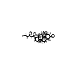 CCCC(=O)CC(=O)[C@H]1CC[C@H]2[C@@H]3CCC4=CC(=O)CC(O)[C@]4(C)[C@H]3CC[C@]12C